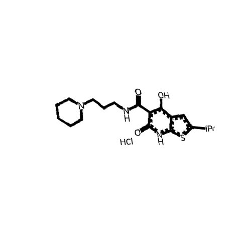 CC(C)c1cc2c(O)c(C(=O)NCCCN3CCCCC3)c(=O)[nH]c2s1.Cl